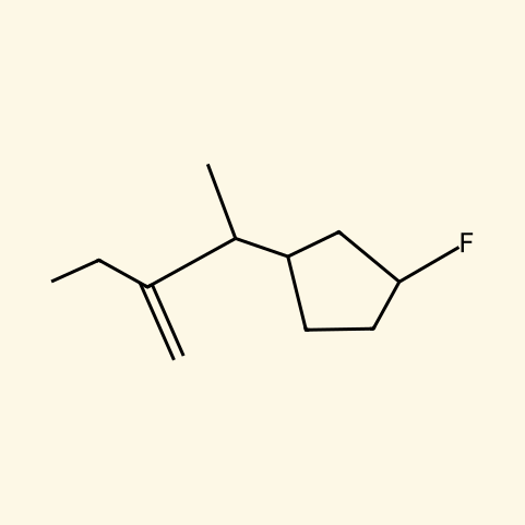 C=C(CC)C(C)C1CCC(F)C1